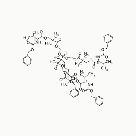 CC(C)[C@H](NC(=O)OCc1ccccc1)C(=O)OCC(C)(C)C(=O)OCOP(=O)(O)C(O)(CCCNC(=O)OCc1ccccc1)P(=O)(OCOC(=O)C(C)(C)COC(=O)[C@@H](NC(=O)OCc1ccccc1)C(C)C)OCOC(=O)C(C)(C)COC(=O)[C@@H](NC(=O)OCc1ccccc1)C(C)C